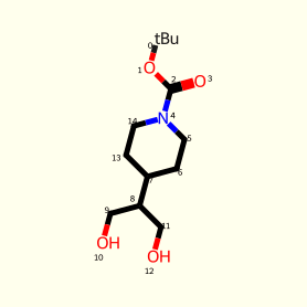 CC(C)(C)OC(=O)N1CCC(C(CO)CO)CC1